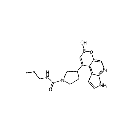 CCCNC(=O)N1CCC(C2=CB(O)Oc3cnc4[nH]ccc4c32)C1